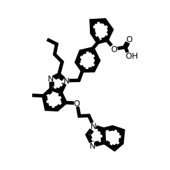 CCCCc1nc2c(C)ccc(OCCn3cnc4ccccc43)c2n1Cc1ccc(-c2ccccc2OC(=O)O)cc1